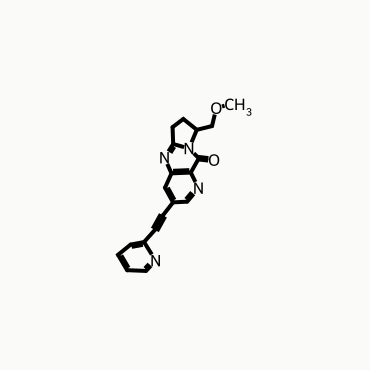 COCC1CCc2nc3cc(C#Cc4ccccn4)cnc3c(=O)n21